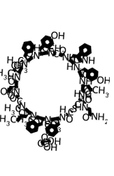 CCCC[C@H]1C(=O)N(C)CC(=O)N[C@@H](CC(=O)O)C(=O)N[C@@H](C(C)C)C(=O)N(C)[C@@H](Cc2ccccc2)C(=O)N[C@@H](Cc2ccc(O)cc2)C(=O)N(C)CC(=O)N[C@@H](Cc2c[nH]c3ccccc23)C(=O)N[C@@H](Cc2ccc(O)cc2)C(=O)N[C@@H](CC(C)C)C(=O)N[C@H](C(=O)NCC(N)=O)CSCC(=O)N[C@@H](Cc2ccc(OP(=O)(O)O)cc2)C(=O)N(C)[C@@H](Cc2ccccc2)C(=O)N1C